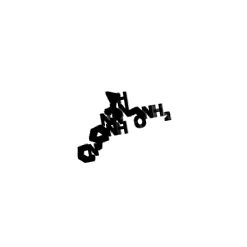 NC(=O)CCNc1nc(Nc2cccc(CN3CCCCC3)c2)ncc1C1CC1